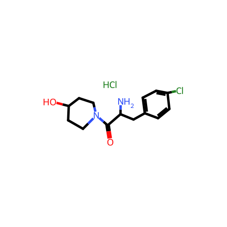 Cl.NC(Cc1ccc(Cl)cc1)C(=O)N1CCC(O)CC1